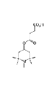 CN1C(C)(C)CC(OC(=O)CCC(=O)O)CC1(C)C